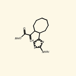 C=C(C(=O)OC)C1CCCCCCC1c1csc(NC(C)=O)n1